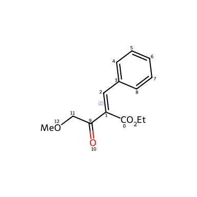 CCOC(=O)/C(=C\c1ccccc1)C(=O)COC